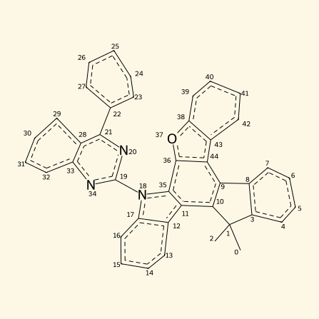 CC1(C)c2ccccc2-c2c1c1c3ccccc3n(-c3nc(-c4ccccc4)c4ccccc4n3)c1c1oc3ccccc3c21